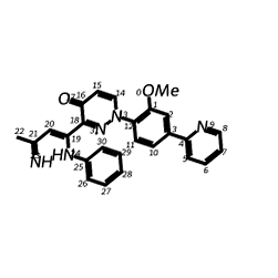 COc1cc(-c2ccccn2)ccc1-n1ccc(=O)c(/C(=C/C(C)=N)Nc2ccccc2)n1